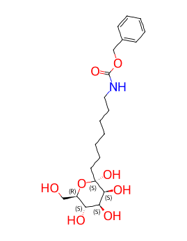 O=C(NCCCCCCC[C@]1(O)O[C@H](CO)[C@@H](O)[C@H](O)[C@@H]1O)OCc1ccccc1